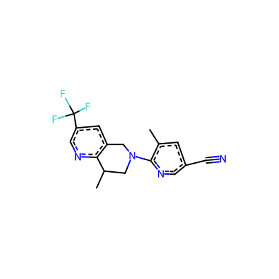 Cc1cc(C#N)cnc1N1Cc2cc(C(F)(F)F)cnc2C(C)C1